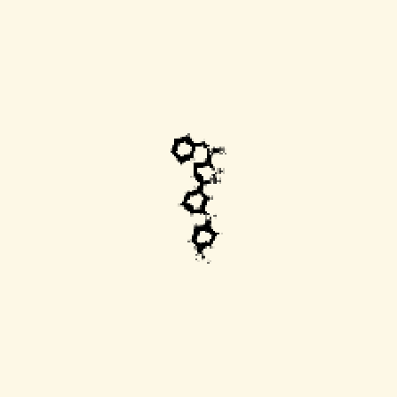 CCN(Cc1ccccc1)C1=CC=C(c2cccc(Nc3ccc(C)cc3)c2)NN1